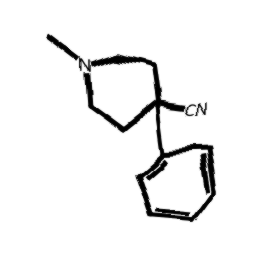 CN1CCC(C#N)(c2cc[c]cc2)CC1